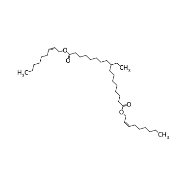 CCCCCC/C=C\COC(=O)CCCCCCCC(CC)CCCCCCCC(=O)OC/C=C\CCCCCC